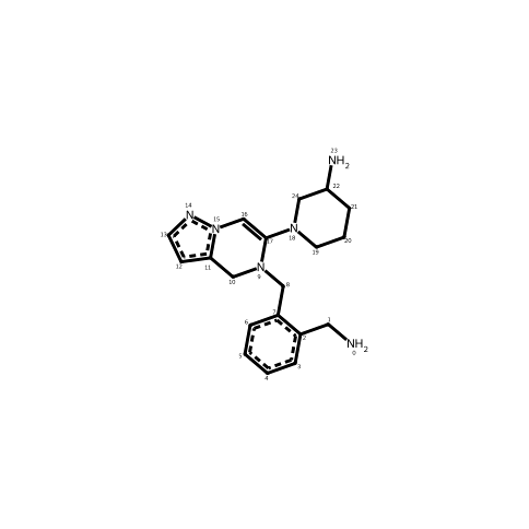 NCc1ccccc1CN1Cc2ccnn2C=C1N1CCCC(N)C1